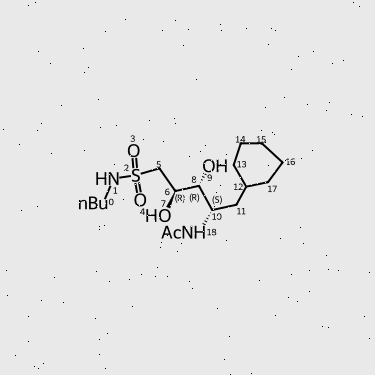 CCCCNS(=O)(=O)C[C@H](O)[C@H](O)[C@H](CC1CCCCC1)NC(C)=O